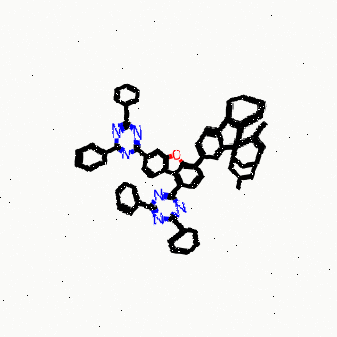 CC1CC2CC(C)C3(c4ccccc4-c4ccc(-c5ccc(-c6nc(-c7ccccc7)nc(-c7ccccc7)n6)c6c5oc5cc(-c7nc(-c8ccccc8)nc(-c8ccccc8)n7)ccc56)cc43)C(C1)C2